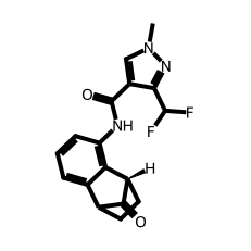 Cn1cc(C(=O)Nc2cccc3c2[C@@H]2CCC3C2=O)c(C(F)F)n1